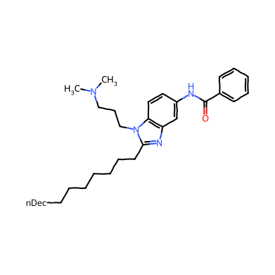 CCCCCCCCCCCCCCCCCc1nc2cc(NC(=O)c3ccccc3)ccc2n1CCCN(C)C